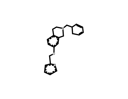 C1=CCC(CN2CCc3ccc(OCc4ccccn4)cc3C2)C=C1